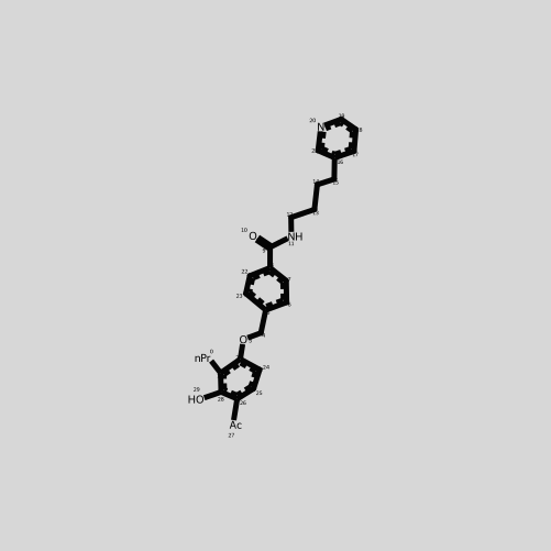 CCCc1c(OCc2ccc(C(=O)NCCCCc3cccnc3)cc2)ccc(C(C)=O)c1O